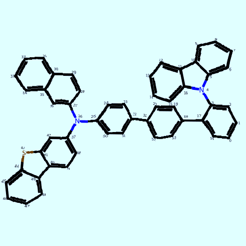 c1ccc(-n2c3ccccc3c3ccccc32)c(-c2ccc(-c3ccc(N(c4ccc5ccccc5c4)c4ccc5c(c4)sc4ccccc45)cc3)cc2)c1